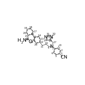 Cc1cc(C#N)ccc1N(CCCc1ccc(-c2ccccc2C(N)=O)cc1)Cc1cncn1C